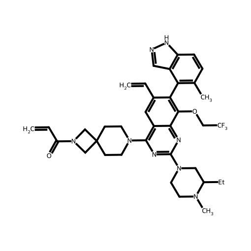 C=CC(=O)N1CC2(CCN(c3nc(N4CCN(C)C(CC)C4)nc4c(OCC(F)(F)F)c(-c5c(C)ccc6[nH]ncc56)c(C=C)cc34)CC2)C1